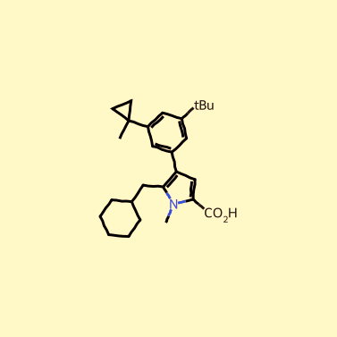 Cn1c(C(=O)O)cc(-c2cc(C(C)(C)C)cc(C3(C)CC3)c2)c1CC1CCCCC1